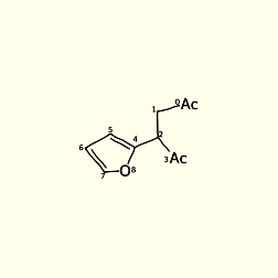 CC(=O)CC(C(C)=O)c1ccco1